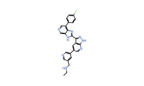 CCNCc1cncc(-c2cnc3[nH]nc(-c4nc5c(-c6ccc(F)cc6)cncc5[nH]4)c3c2)c1